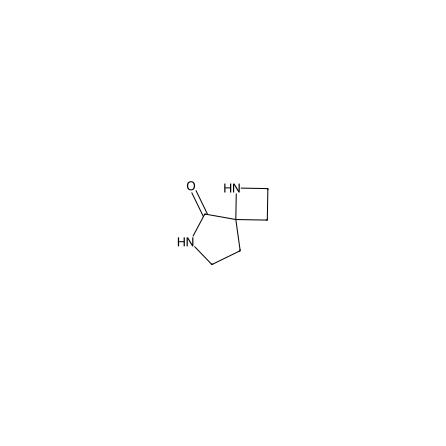 O=C1NCCC12CCN2